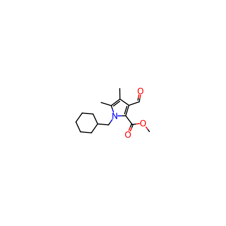 COC(=O)c1c(C=O)c(C)c(C)n1CC1CCCCC1